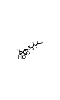 CCCCCSC=CC1(C(=O)O)CC1